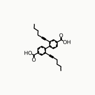 CCCCC#Cc1cc(C(=O)O)ccc1-c1ccc(C(=O)O)cc1C#CCCCC